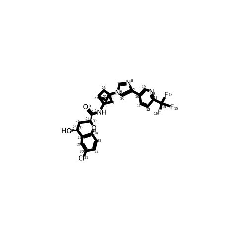 O=C(NC1CC2(n3cnc(-c4ccc(C(F)(F)F)nc4)c3)CC1C2)[C@@H]1C[C@H](O)c2cc(Cl)ccc2O1